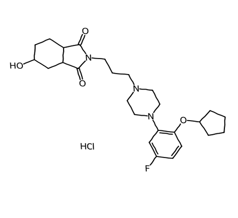 Cl.O=C1C2CCC(O)CC2C(=O)N1CCCN1CCN(c2cc(F)ccc2OC2CCCC2)CC1